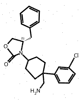 NCC1(c2cccc(Cl)c2)CCC(N2C(=O)OC[C@@H]2Cc2ccccc2)CC1